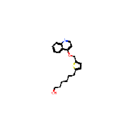 OCCCCCCc1ccc(COc2ccnc3ccccc23)s1